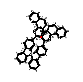 c1ccc2c(c1)-c1ccc(-c3ccc4ccc5cccnc5c4n3)cc1[Si]21c2ccccc2-c2ccc(-c3ccc4ccc5cccnc5c4n3)cc21